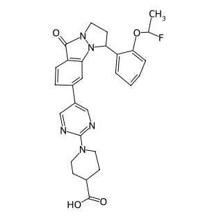 CC(F)Oc1ccccc1C1CCn2c(=O)c3ccc(-c4cnc(N5CCC(C(=O)O)CC5)nc4)cc3n21